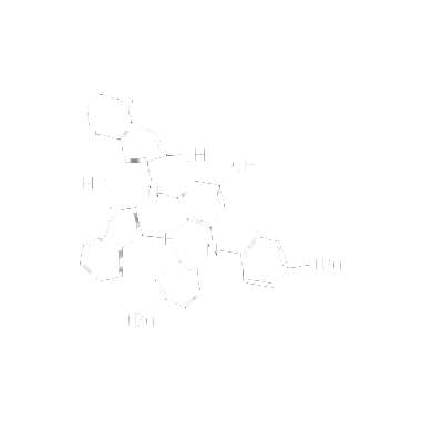 Cc1cc2c3c(c1)N(c1c(C)cc4c(c1C)OCCO4)c1sc4ccccc4c1B3c1cc(C(C)(C)C)ccc1N2c1ccc(C(C)(C)C)cc1